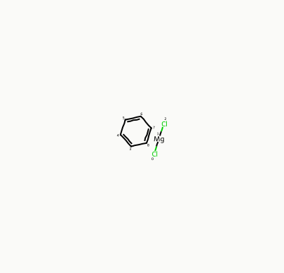 [Cl][Mg][Cl].[c]1ccccc1